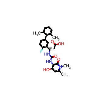 Cc1cccc(C)c1-c1ccc(F)c([C@H](CC(=O)O)NC(=O)Nc2c(O)cc(C)n(C)c2=O)c1